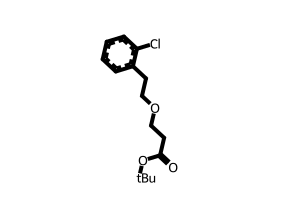 CC(C)(C)OC(=O)CCOCCc1ccccc1Cl